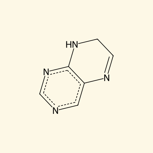 C1=Nc2cncnc2NC1